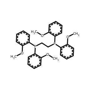 COc1ccccc1P(CCP(c1ccccc1OC)c1ccccc1OC)c1ccccc1OC